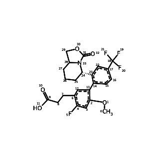 COc1cc(F)c(CCC(=O)O)cc1-c1ccc(C(F)(F)F)cc1[C@@H]1CCCC2COC(=O)N21